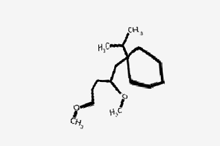 COCCC(CC1(C(C)C)CCCCC1)OC